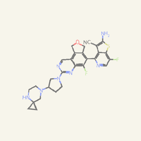 N#Cc1c(N)sc2c(F)cnc(-c3c4c(c5cnc(N6CCC(N7CCNC8(CC8)C7)C6)nc5c3F)COC4)c12